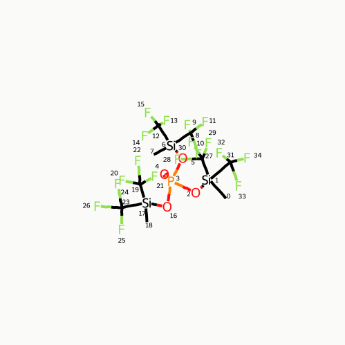 C[Si](OP(=O)(O[Si](C)(C(F)(F)F)C(F)(F)F)O[Si](C)(C(F)(F)F)C(F)(F)F)(C(F)(F)F)C(F)(F)F